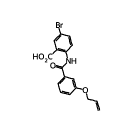 C=CCOc1cccc(C(=O)Nc2ccc(Br)cc2C(=O)O)c1